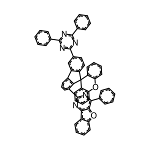 c1ccc(-c2nc(-c3ccccc3)nc(-c3ccc4c(c3)-c3cccc(-c5nc(-c6ccccc6)c6oc7ccccc7c6n5)c3C43c4ccccc4Oc4ccccc43)n2)cc1